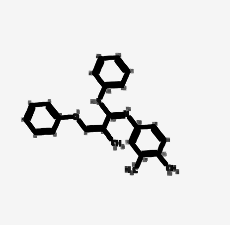 CC(=COc1ccccc1)C(=Nc1ccc(C)c(C)c1)Sc1ccccc1